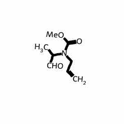 C=CCN(C(=O)OC)C(C)C=O